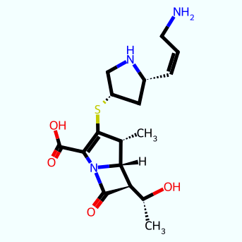 C[C@@H](O)[C@H]1C(=O)N2C(C(=O)O)=C(S[C@@H]3CN[C@H](/C=C\CN)C3)[C@H](C)[C@H]12